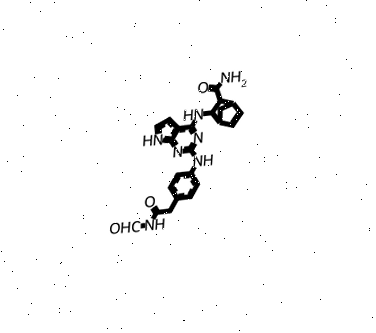 NC(=O)C1C2C=CC(C2)C1Nc1nc(Nc2ccc(CC(=O)NC=O)cc2)nc2[nH]ccc12